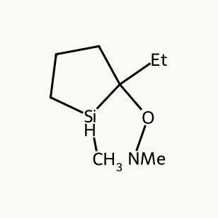 CCC1(ONC)CCC[SiH]1C